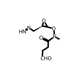 CN(OC1O[C@@H]1CN=N)C(=O)CCC=O